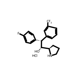 Cl.O[C@H]([C@H](c1ccc(F)cc1)c1cccc(C(F)(F)F)c1)[C@H]1CCCN1